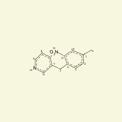 Cc1ccc(Cc2cccnc2)c([N+](=O)[O-])c1